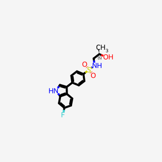 C[C@H](O)CNS(=O)(=O)c1ccc(-c2c[nH]c3cc(F)ccc23)cc1